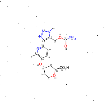 Cc1nc(-c2nnn(C)c2COC(N)=O)ccc1O[C@H]1CCO[C@H](C(=O)O)C1